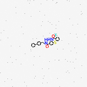 O=C(NCCc1ccc(-c2ccccc2)cc1)c1ccc2c(c1)NC(=O)c1c(F)cccc1S2